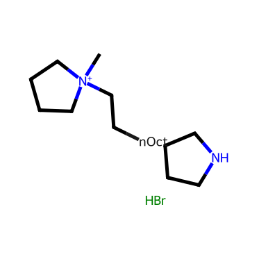 Br.C1CCNC1.CCCCCCCCCC[N+]1(C)CCCC1